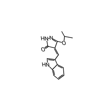 CC(C)OC1=NNC(=O)/C1=C\c1c[nH]c2ccccc12